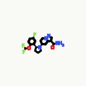 NC(=O)c1cnn2ccc(N3CCC[C@@H]3c3cc(F)ccc3OC(F)F)cc12